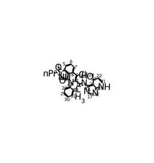 CCCS(=N)(=O)c1cccc2c(Cl)c([C@H](C)Nc3ncnc4[nH]ccc(=O)c34)n(-c3ccccc3)c(=O)c12